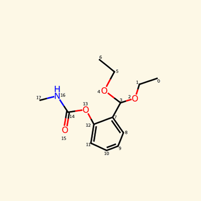 CCOC(OCC)c1ccccc1OC(=O)NC